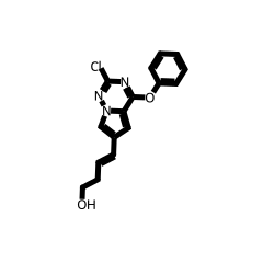 OCCC=Cc1cc2c(Oc3ccccc3)nc(Cl)nn2c1